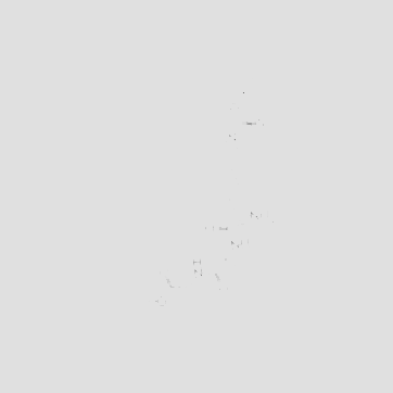 CCOC(=O)CNC(=O)C(C)(C)NC(=O)[C@@H](N)CCCCNC(=O)OC(C)(C)C